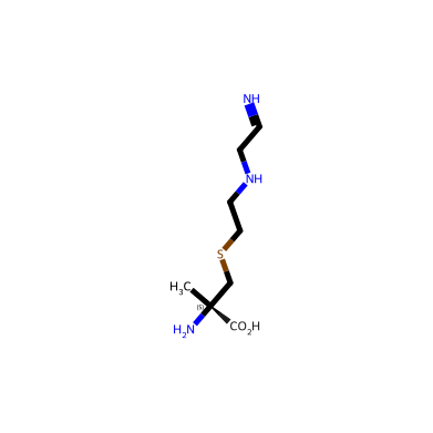 C[C@@](N)(CSCCNCC=N)C(=O)O